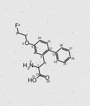 NC(Cc1cc(OCCF)ccc1-c1ccccc1)C(=O)O